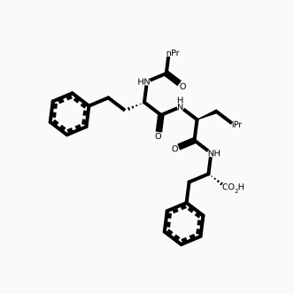 CCCC(=O)N[C@@H](CCc1ccccc1)C(=O)N[C@@H](CC(C)C)C(=O)N[C@@H](Cc1ccccc1)C(=O)O